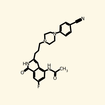 CC(=O)Nc1cc(F)cc2c(=O)[nH]c(CCCN3CCN(c4ccc(C#N)cc4)CC3)cc12